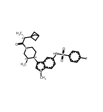 C[C@H]1CN(C(=O)[C@H](C)C23CC(C2)C3)CC[C@H]1c1cn(C)c2ccc(NS(=O)(=O)c3ccc(F)cc3)cc12